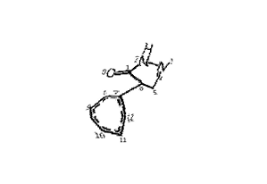 O=C1NN=CCC1c1ccccc1